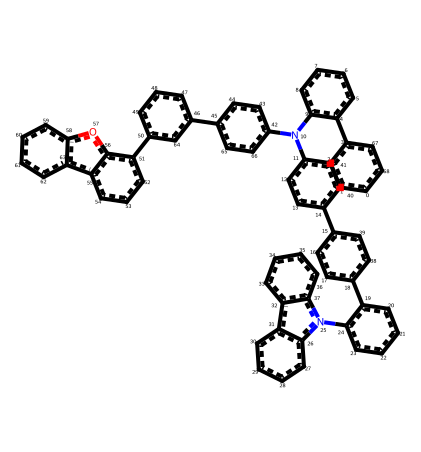 c1ccc(-c2ccccc2N(c2ccc(-c3ccc(-c4ccccc4-n4c5ccccc5c5ccccc54)cc3)cc2)c2ccc(-c3cccc(-c4cccc5c4oc4ccccc45)c3)cc2)cc1